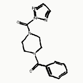 O=C(c1ccccc1)N1CCN(C(=O)n2nccn2)CC1